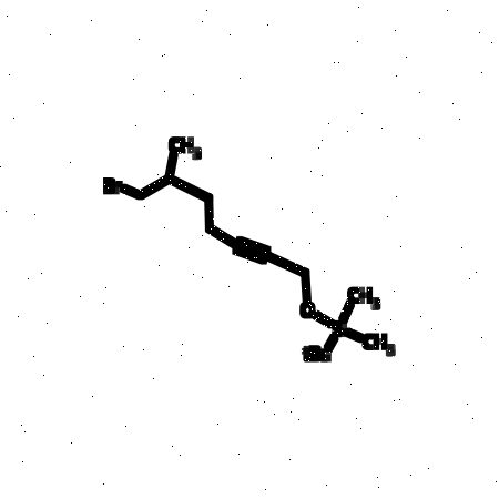 CC(CBr)CCC#CCO[Si](C)(C)C(C)(C)C